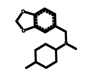 CC1CCC(N(C)Cc2ccc3c(c2)OCO3)CC1